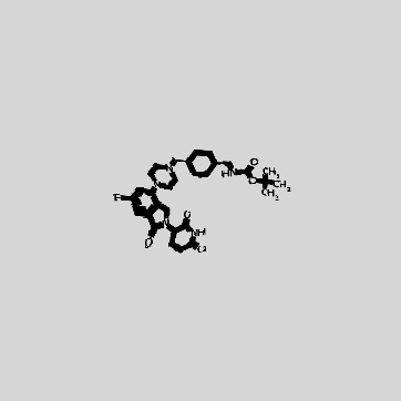 CC(C)(C)OC(=O)NC[C@H]1CC[C@H](CN2CCN(c3cc(F)cc4c3CN(C3CCC(=O)NC3=O)C4=O)CC2)CC1